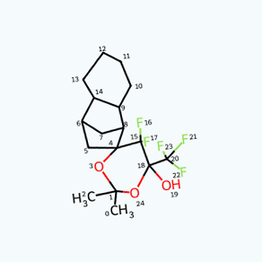 CC1(C)OC2(CC3CC2C2CCCCC32)C(F)(F)C(O)(C(F)(F)F)O1